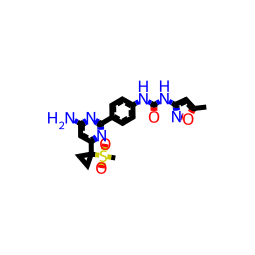 Cc1cc(NC(=O)Nc2ccc(-c3nc(N)cc(C4(S(C)(=O)=O)CC4)n3)cc2)no1